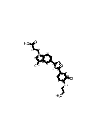 CCCOc1ccc(-c2nc(-c3ccc4c(c3)c(Cl)cn4CCC(=O)O)no2)cc1Cl